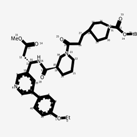 CCOc1ccc(-c2cncc([C@H](CC(=O)OC)NC(=O)[C@@H]3CCCN(C(=O)CCC4CCN(C(=O)OC(C)(C)C)CC4)C3)c2)cc1